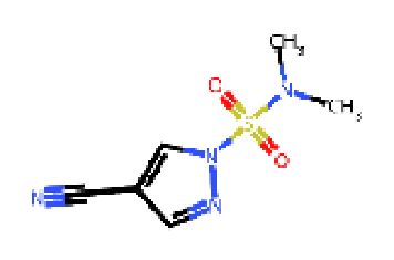 CN(C)S(=O)(=O)n1cc(C#N)cn1